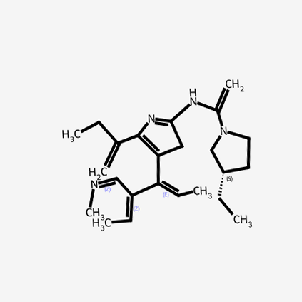 C=C(CC)C1=C(C(=C\C)/C(/C=N\C)=C/C)CC(NC(=C)N2CC[C@H](CC)C2)=N1